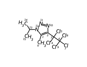 Cc1c(C(Cl)(Cl)C(Cl)(Cl)Cl)nnn1C(C)C